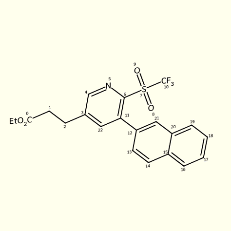 CCOC(=O)CCc1cnc(S(=O)(=O)C(F)(F)F)c(-c2ccc3ccccc3c2)c1